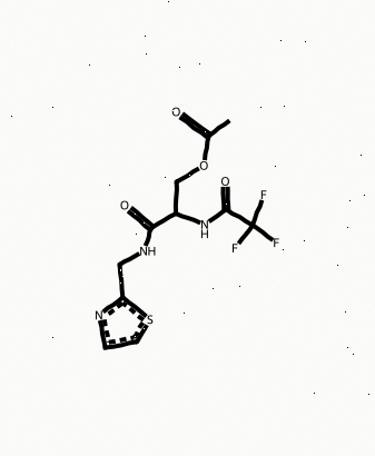 CC(=O)OCC(NC(=O)C(F)(F)F)C(=O)NCc1nccs1